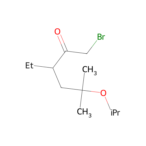 CCC(CC(C)(C)OC(C)C)C(=O)CBr